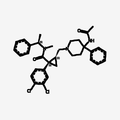 CC(=O)NC1(c2ccccc2)CCN(C[C@@H]2C[C@@]2(C(=O)N(C)[C@H](C)c2ccccc2)c2ccc(Cl)c(Cl)c2)CC1